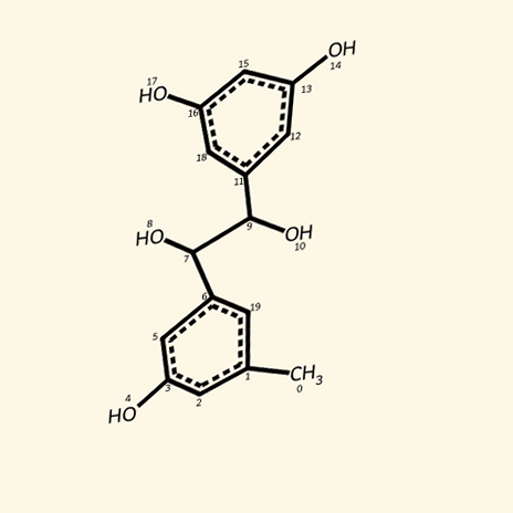 Cc1cc(O)cc(C(O)C(O)c2cc(O)cc(O)c2)c1